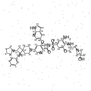 CC(C)c1ccccc1[C@@H]1CCCN1C1CC2(CCN(c3cnc(C(=O)NS(=O)(=O)c4cc(N)c5c(c4)OC[C@H](CN4CC(C)(O)C4)N5)c(Oc4cnc5[nH]ccc5c4)c3)CC2)C1